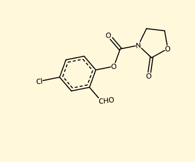 O=Cc1cc(Cl)ccc1OC(=O)N1CCOC1=O